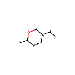 CCC1CCC(C)OC1